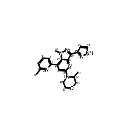 Cc1cccc(-c2cc(N3CCOCC3C)nc3c(-c4cc[nH]n4)nn(C)c23)n1